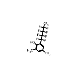 Cc1cc(C)c(O)c(C(F)(F)C(F)(F)C(F)(F)C(F)(F)C(F)(F)F)c1